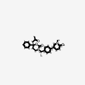 CC(=O)C[C@]1(c2ccccc2)CCN([C@@H](C)c2ccc(-c3ccc(=O)n(C)c3)cc2)C(=O)O1